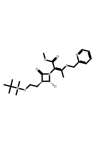 COC(=O)/C(=C(/C)SCc1ccccn1)N1C(=O)[C@H](CCO[Si](C)(C)C(C)(C)C)[C@H]1Cl